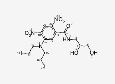 O=C(NCC(O)CO)c1cc(N(CCI)CCI)c([N+](=O)[O-])cc1[N+](=O)[O-]